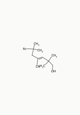 CC(=O)C(C)(C)C/C(C#N)=C/C(C)(C)CO